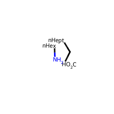 CCCCCCCCC(=O)O.CCCCCCN